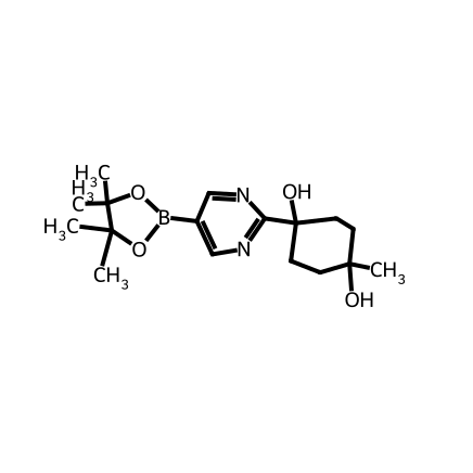 CC1(O)CCC(O)(c2ncc(B3OC(C)(C)C(C)(C)O3)cn2)CC1